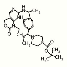 CCC(c1ccc([C@H](C)NC2N=CC3=C(N2)N(CC)C(=O)OC3)cc1)N1CCN(C(=O)OC(C)(C)C)CC1